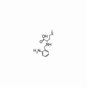 CSCCC(NCc1ccccc1N)C(=O)O